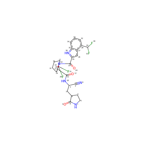 N#CC(CC1CCNC1=O)NC(=O)C1C2CCC(CC2(F)F)N1C(=O)c1cc2c(C(F)F)cccc2[nH]1